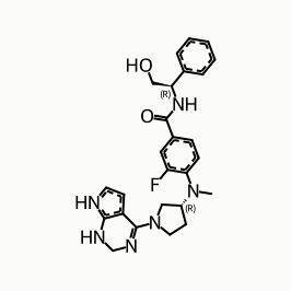 CN(c1ccc(C(=O)N[C@@H](CO)c2ccccc2)cc1F)[C@@H]1CCN(C2=NCNc3[nH]ccc32)C1